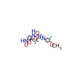 COCc1ccc(N2CCN(C(=O)C(=O)Nc3ccc4[nH]c(=O)oc4c3)[C@H](C)C2)cc1F